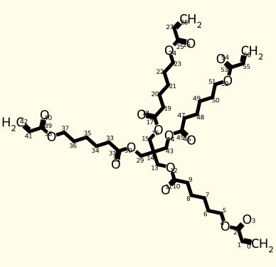 C=CC(=O)OCCCCCC(=O)OCC(COC(=O)CCCCCOC(=O)C=C)(COC(=O)CCCCCOC(=O)C=C)COC(=O)CCCCCOC(=O)C=C